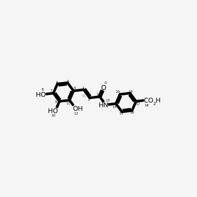 O=C(/C=C/c1ccc(O)c(O)c1O)Nc1ccc(C(=O)O)cc1